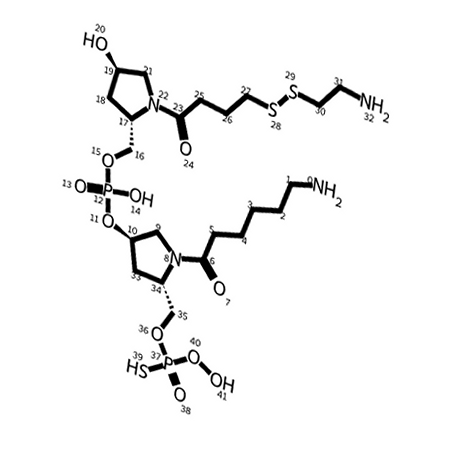 NCCCCCC(=O)N1C[C@H](OP(=O)(O)OC[C@@H]2C[C@@H](O)CN2C(=O)CCCSSCCN)C[C@H]1COP(=O)(S)OO